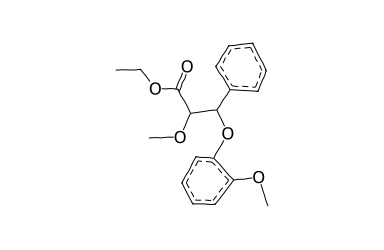 CCOC(=O)C(OC)C(Oc1ccccc1OC)c1ccccc1